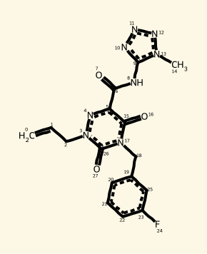 C=CCn1nc(C(=O)Nc2nnnn2C)c(=O)n(Cc2cccc(F)c2)c1=O